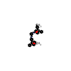 Cc1ccc(N(C=C(c2ccccc2)c2ccccc2)c2ccc(/C=C/c3cccc(/C=C/c4ccc(N(C=C(c5ccccc5)c5ccccc5)c5ccc(C)cc5)cc4)c3)cc2)cc1